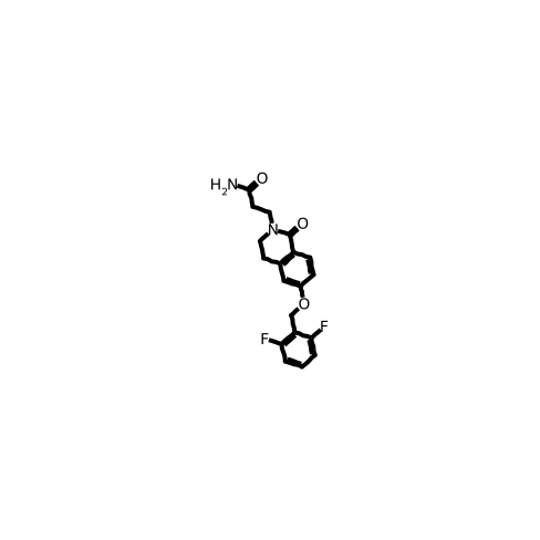 NC(=O)CCN1CCc2cc(OCc3c(F)cccc3F)ccc2C1=O